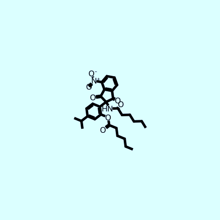 CCCCCC(=O)NC1(c2ccc(C(C)C)cc2OC(=O)CCCCC)C(=O)c2cccc([N+](=O)[O-])c2C1=O